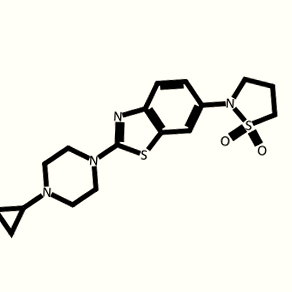 O=S1(=O)CCCN1c1ccc2nc(N3CCN(C4CC4)CC3)sc2c1